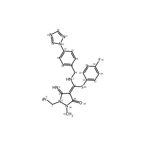 CC(C)CN1C(=N)/C(=C(\NCc2ccc(-n3cncn3)cc2)Sc2ccc(F)cc2)C(=O)N1C